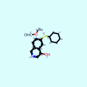 CCC(C)OC=O.Oc1cncc2ccc(SC3CCCCC3)cc12